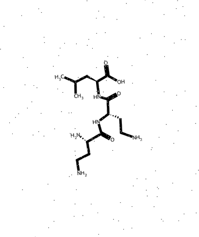 CC(C)C[C@H](NC(=O)[C@H](CCN)NC(=O)[C@@H](N)CCN)C(=O)O